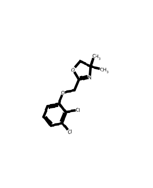 CC1(C)COC(COc2cccc(Cl)c2Cl)=N1